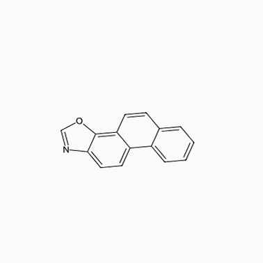 c1ccc2c(c1)ccc1c2ccc2ncoc21